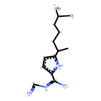 CCCCC(CC)CCCC(C)c1ccc(/C(N)=N\C=N)[nH]1